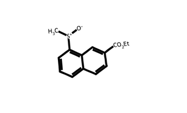 CCOC(=O)c1ccc2cccc([S+](C)[O-])c2c1